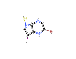 Sn1cc(I)c2nc(Br)cnc21